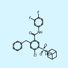 CC1(O)C2CC1CC(S(=O)(=O)c1cc(C(=O)Nc3ccc(F)c(F)c3)c(Cc3ccccc3)cc1Cl)C2